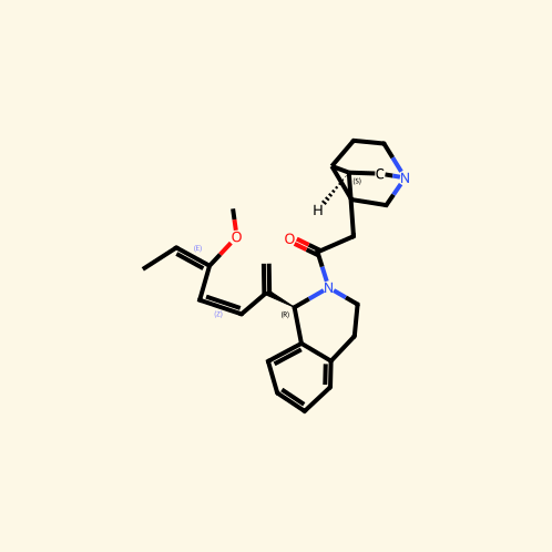 C=C(/C=C\C(=C/C)OC)[C@@H]1c2ccccc2CCN1C(=O)C[C@@H]1CN2CCC1CC2